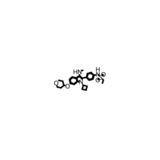 CCS(=O)(=O)Nc1ccc(-c2c(NC)c3ccc(OC4CCOCC4)cc3n2C2CCC2)cc1